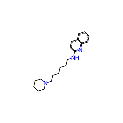 c1ccc2nc(NCCCCCCN3CCCCC3)ccc2c1